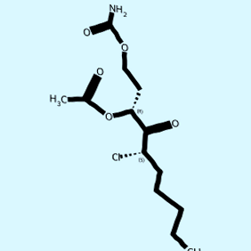 CCCCC[C@H](Cl)C(=O)[C@@H](CCOC(N)=O)OC(C)=O